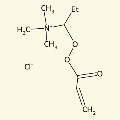 C=CC(=O)OOC(CC)[N+](C)(C)C.[Cl-]